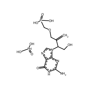 C=C(COCP(=O)(O)O)C(CO)n1cnc2c(=O)[nH]c(N)nc21.O=[PH](O)O